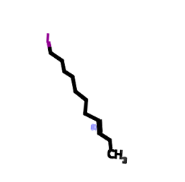 CC/C=C/CCCCCCCI